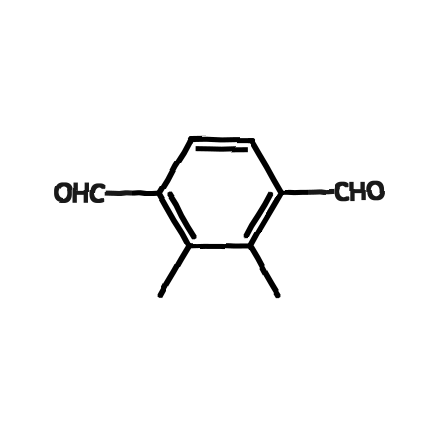 Cc1c(C=O)ccc(C=O)c1C